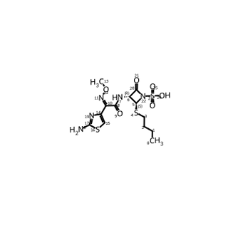 CCCCS[C@H]1[C@H](NC(=O)C(=NOC)c2csc(N)n2)C(=O)N1S(=O)(=O)O